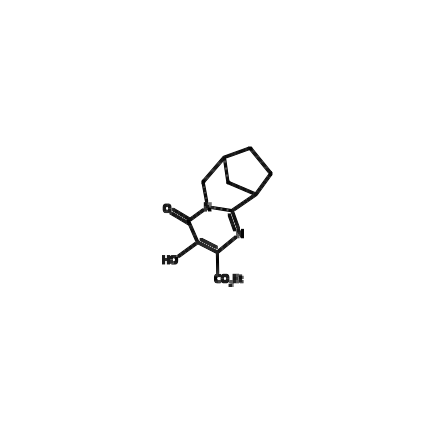 CCOC(=O)c1nc2n(c(=O)c1O)CC1CCC2C1